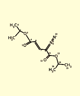 CC(C)OC(=O)C=CC(=[N+]=[N-])C(=O)OC(C)C